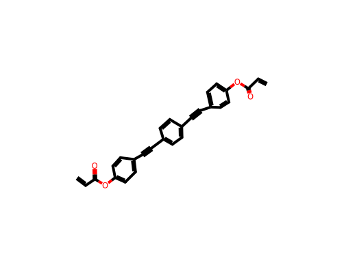 C=CC(=O)Oc1ccc(C#Cc2ccc(C#Cc3ccc(OC(=O)C=C)cc3)cc2)cc1